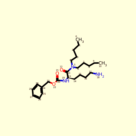 CCCCCN(CCCCC)C(=O)[C@@H](CCCCN)NC(=O)OCc1ccccc1